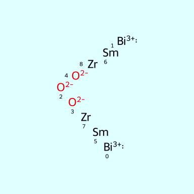 [Bi+3].[Bi+3].[O-2].[O-2].[O-2].[Sm].[Sm].[Zr].[Zr]